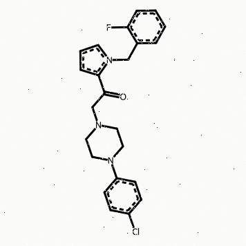 O=C(CN1CCN(c2ccc(Cl)cc2)CC1)c1cccn1Cc1ccccc1F